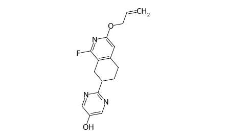 C=CCOc1cc2c(c(F)n1)CC(c1ncc(O)cn1)CC2